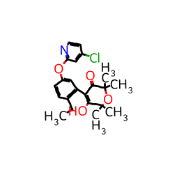 CCc1ccc(Oc2cc(Cl)ccn2)cc1C1=C(O)C(C)(C)OC(C)(C)C1=O